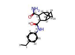 CCc1ccc(NC(=O)C2C(C(N)=O)C3CCC2C32CC2)cc1